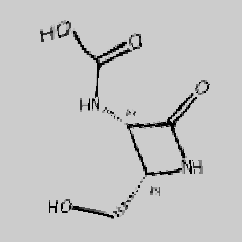 O=C(O)N[C@@H]1C(=O)N[C@@H]1CO